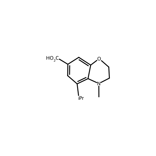 CC(C)c1cc(C(=O)O)cc2c1N(C)CCO2